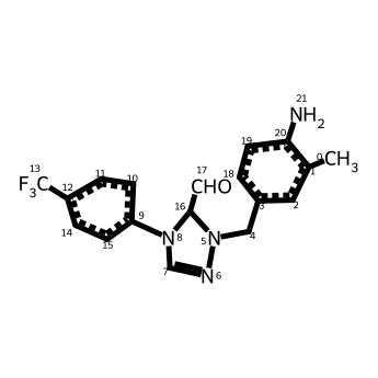 Cc1cc(CN2N=CN(c3ccc(C(F)(F)F)cc3)C2C=O)ccc1N